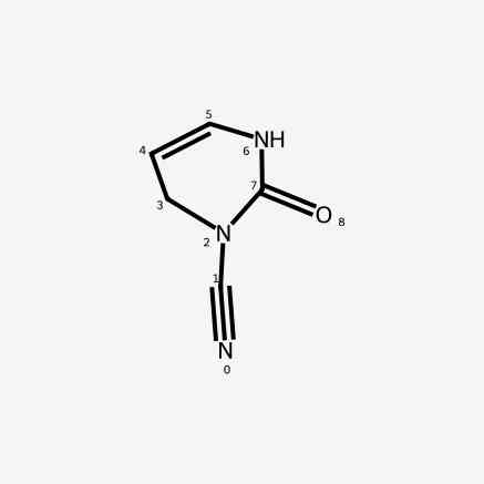 N#CN1CC=CNC1=O